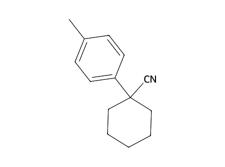 Cc1ccc(C2(C#N)CCCCC2)cc1